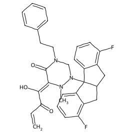 C=CC(=O)/C(O)=C1/C(=O)N(CCc2ccccc2)CN(C23c4cccc(F)c4CC2Cc2c(F)cccc23)N1C